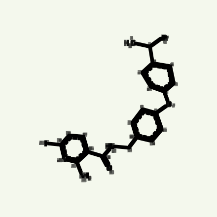 CC(C)C(C)c1ccc(Oc2ccc(CNC(=O)c3ccc(F)nc3N)cc2)cc1